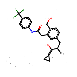 CC(Cc1ccc(CO)c(CC(=O)Nc2ccc(C(F)(F)F)cc2)c1)C(O)=C1CC1